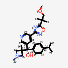 COCC(C)(C)c1nc(-c2cncc([C@@](O)(c3ccc(C(C)C)cc3)C3(C)CN(C)C3)c2)no1